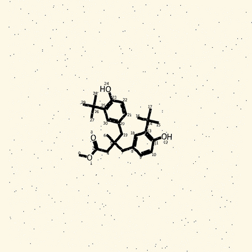 COC(=O)CC(C)(Cc1ccc(O)c(C(C)(C)C)c1)Cc1ccc(O)c(C(C)(C)C)c1